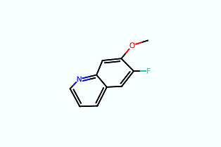 COc1cc2ncccc2cc1F